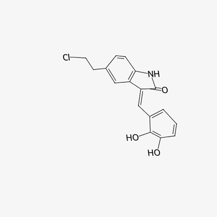 O=C1Nc2ccc(CCCl)cc2C1=Cc1cccc(O)c1O